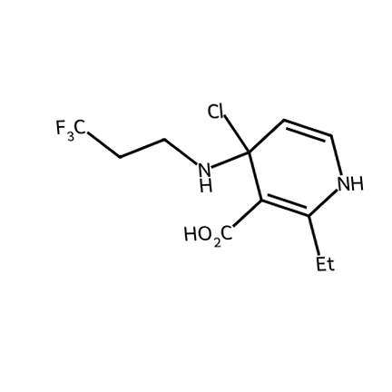 CCC1=C(C(=O)O)C(Cl)(NCCC(F)(F)F)C=CN1